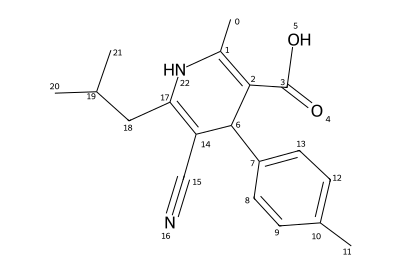 CC1=C(C(=O)O)C(c2ccc(C)cc2)C(C#N)=C(CC(C)C)N1